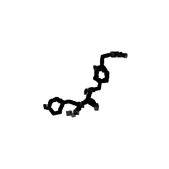 COCc1ccc(CNC(=O)N(C)CC2CCNCC2)cn1